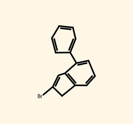 BrC1=Cc2c(cccc2-c2ccccc2)C1